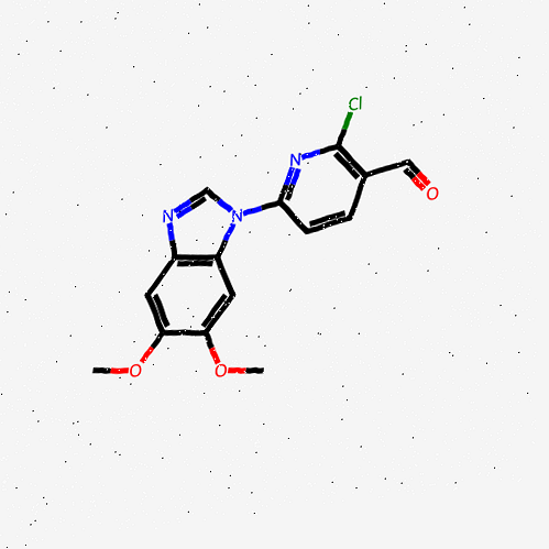 COc1cc2ncn(-c3ccc(C=O)c(Cl)n3)c2cc1OC